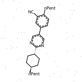 CCCCCc1ccc(-c2cnc([C@H]3CC[C@H](CCCCC)CC3)nc2)cc1C#N